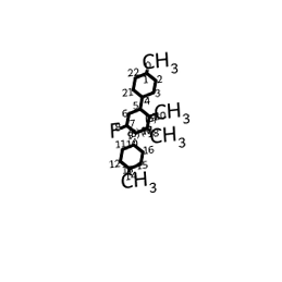 CC1CCC(C2CC(F)[C@@H](C3CCC(C)CC3)[C@H](C)[C@@H]2C)CC1